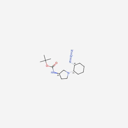 CC(C)(C)OC(=O)N[C@@H]1CCN([C@H]2CCCC[C@H]2N=[N+]=[N-])C1